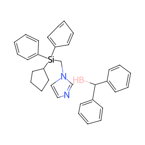 B(c1nccn1C[Si](c1ccccc1)(c1ccccc1)C1CCCC1)C(c1ccccc1)c1ccccc1